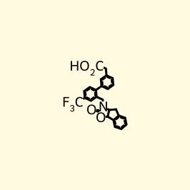 O=C(O)Cc1cccc(-c2ccc(C(F)(F)F)cc2CN2C(=O)OC3c4ccccc4CC32)c1